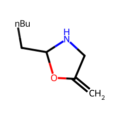 C=C1CNC(CCCCC)O1